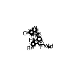 C=CNCCC(F)(F)CCc1cc(Br)ccc1NC1CCCCC1NC(=C)c1cncc2cc(Cl)ccc12